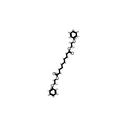 O=C(CCCCCCCCC(=O)OCCOc1ccccc1)OCCOc1ccccc1